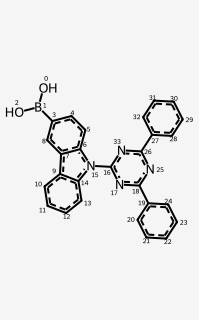 OB(O)c1ccc2c(c1)c1ccccc1n2-c1nc(-c2ccccc2)nc(-c2ccccc2)n1